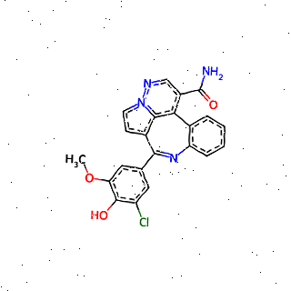 COc1cc(C2=Nc3ccccc3-c3c(C(N)=O)cnn4ccc2c34)cc(Cl)c1O